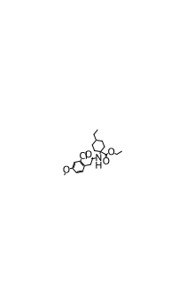 CCOC(=O)C1(NC(=O)Cc2ccc(OC)cc2Cl)CCC(CC)CC1